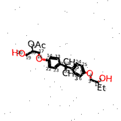 CC[C@@H](O)COc1ccc(C(C)(C)c2ccc(OC[C@@H](CO)OC(C)=O)cc2)cc1